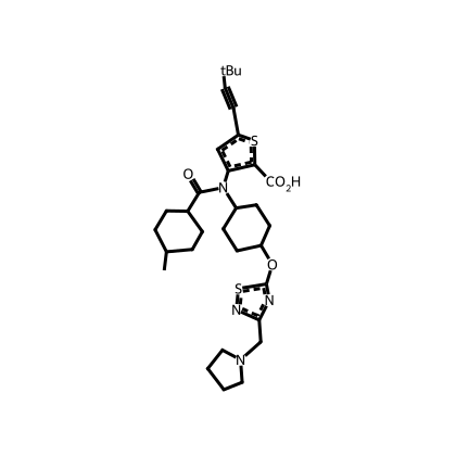 CC1CCC(C(=O)N(c2cc(C#CC(C)(C)C)sc2C(=O)O)C2CCC(Oc3nc(CN4CCCC4)ns3)CC2)CC1